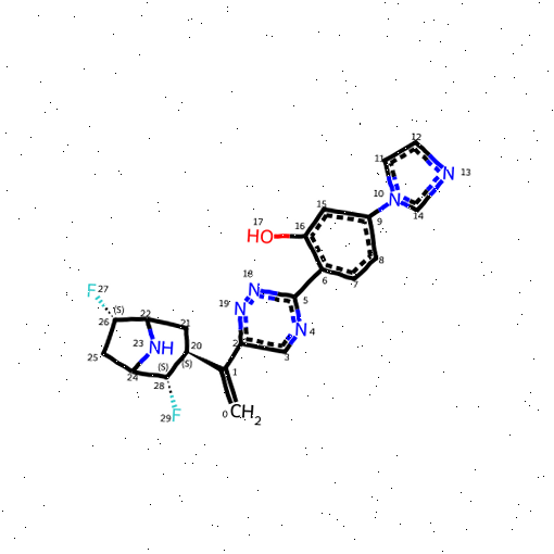 C=C(c1cnc(-c2ccc(-n3ccnc3)cc2O)nn1)[C@@H]1CC2NC(C[C@@H]2F)[C@H]1F